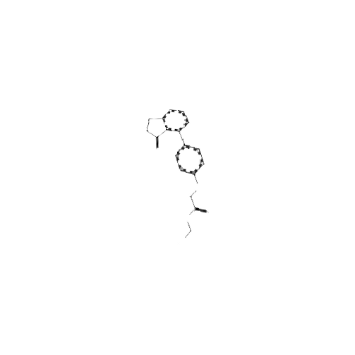 CCOC(=O)COc1ccc(-c2cccc3c2C(=O)CC3)cc1